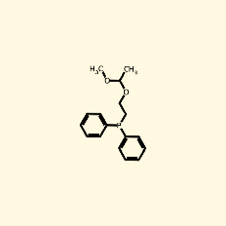 COC(C)OCCP(c1ccccc1)c1ccccc1